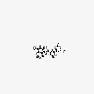 CCCCC(OC(C)=O)c1cccc(COc2c(Cl)cc(Cl)c3cccnc23)c1